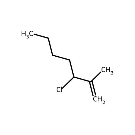 C=C(C)C(Cl)CCCC